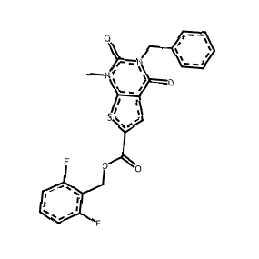 Cn1c(=O)n(Cc2ccccc2)c(=O)c2cc(C(=O)OCc3c(F)cccc3F)sc21